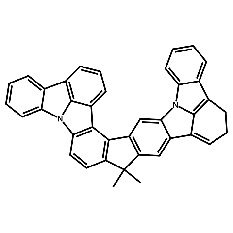 CC1(C)c2cc3c4c5c(c6ccccc6n5c3cc2-c2c1ccc1c2c2cccc3c5ccccc5n1c32)CCC=4